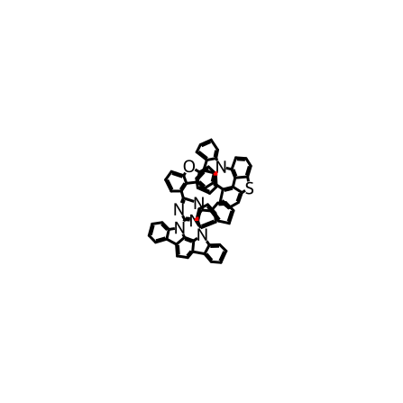 c1ccc(-c2nc(-c3cccc4oc5ccc(-c6cccc7sc8cccc(-n9c%10ccccc%10c%10ccccc%109)c8c67)cc5c34)nc(-n3c4ccccc4c4ccc5c6ccccc6n(-c6ccccc6)c5c43)n2)cc1